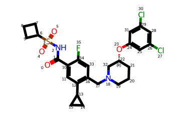 O=C(NS(=O)(=O)C1CCC1)c1cc(C2CC2)c(CN2CCC[C@@H](Oc3cc(Cl)cc(Cl)c3)C2)cc1F